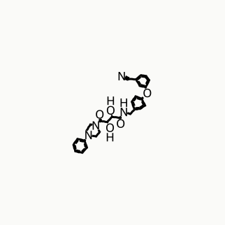 N#Cc1cccc(Oc2ccc(CNC(=O)[C@H](O)[C@@H](O)C(=O)N3CCN(c4ccccc4)CC3)cc2)c1